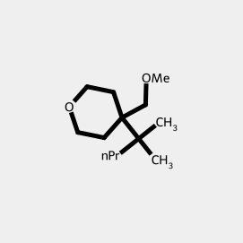 CCCC(C)(C)C1(COC)CCOCC1